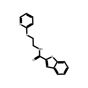 O=C(NCCSc1ccccn1)c1cc2ccccc2s1